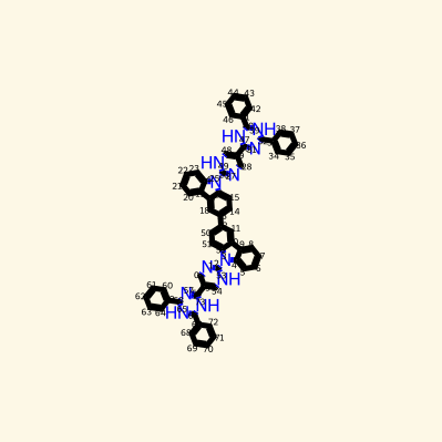 C1=NC(n2c3ccccc3c3cc(-c4ccc5c(c4)c4ccccc4n5C4N=CC(C5N=C(c6ccccc6)NC(c6ccccc6)N5)=CN4)ccc32)NC=C1C1=NC(c2ccccc2)NC(c2ccccc2)N1